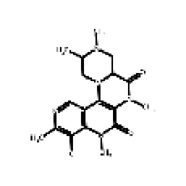 Cc1ncc2c3c(c(=O)n(C)c2c1Cl)N(C)C(=O)C1CN(C)C(C)CN31